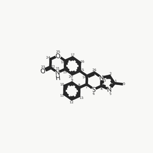 Cc1cn2c(n1)SC(c1ccccc1)C(c1ccc3c(c1)NC(=O)CO3)=C2